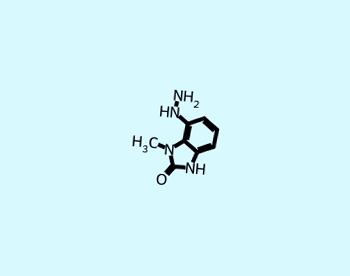 Cn1c(=O)[nH]c2cccc(NN)c21